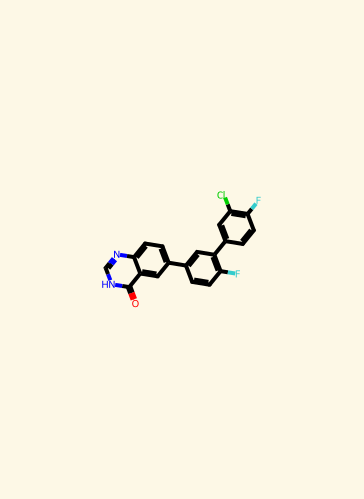 O=c1[nH]cnc2ccc(-c3ccc(F)c(-c4ccc(F)c(Cl)c4)c3)cc12